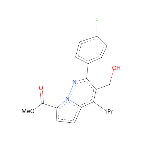 COC(=O)c1ccc2c(C(C)C)c(CO)c(-c3ccc(F)cc3)nn12